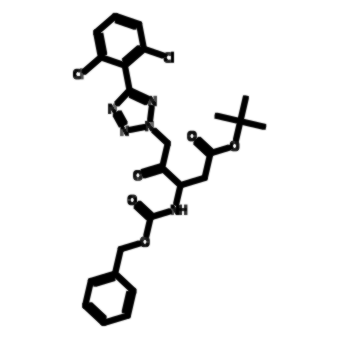 CC(C)(C)OC(=O)CC(NC(=O)OCc1ccccc1)C(=O)Cn1nnc(-c2c(Cl)cccc2Cl)n1